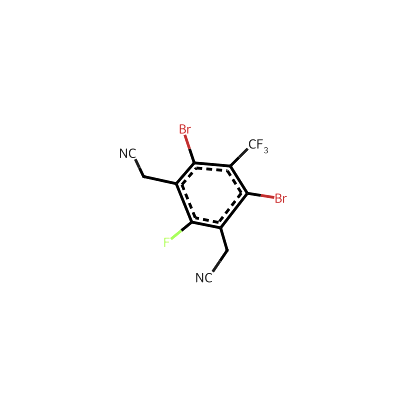 N#CCc1c(F)c(CC#N)c(Br)c(C(F)(F)F)c1Br